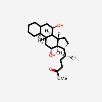 COC(=O)CC[C@@H](C)[C@H]1CC[C@H]2[C@@H]3[C@H](O)CC4CCCC[C@]4(C)[C@H]3C[C@H](O)[C@]12C